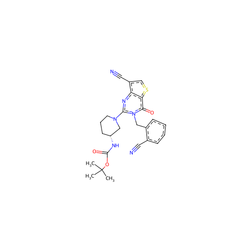 CC(C)(C)OC(=O)N[C@@H]1CCCN(c2nc3c(C#N)csc3c(=O)n2Cc2ccccc2C#N)C1